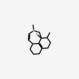 CC1CCC2=C3C(C=CN(C)CC31F)CCC2